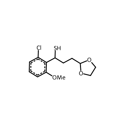 COc1cccc(Cl)c1C(S)CCC1OCCO1